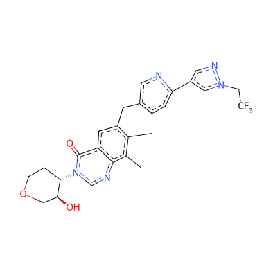 Cc1c(Cc2ccc(-c3cnn(CC(F)(F)F)c3)nc2)cc2c(=O)n([C@H]3CCOC[C@@H]3O)cnc2c1C